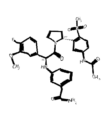 COc1cc([C@H](Nc2cccc(C(N)=O)c2)C(=O)N2CCC[C@@H]2c2cc(NC(C)=O)ccc2S(C)(=O)=O)ccc1F